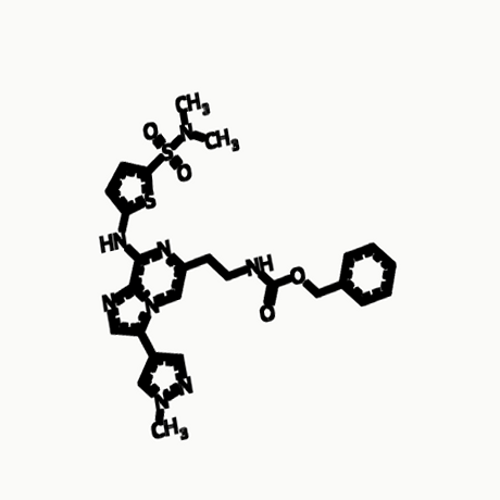 CN(C)S(=O)(=O)c1ccc(Nc2nc(CCNC(=O)OCc3ccccc3)cn3c(-c4cnn(C)c4)cnc23)s1